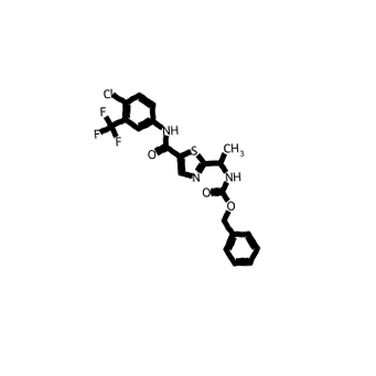 CC(NC(=O)OCc1ccccc1)c1ncc(C(=O)Nc2ccc(Cl)c(C(F)(F)F)c2)s1